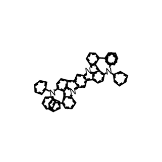 c1ccc(-c2cccc3c2c2c(N(c4ccccc4)c4ccccc4)ccc4c5cc6c(cc5n3c42)c2ccc(N(c3ccccc3)c3ccccc3)c3c4c(-c5ccccc5)cccc4n6c23)cc1